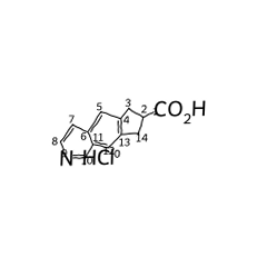 Cl.O=C(O)C1Cc2cc3ccncc3cc2C1